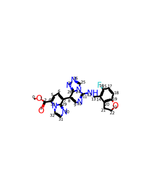 COC(=O)c1ccc(-c2cnc(NCc3c(F)ccc4c3CCO4)n3cnnc23)c2nccn12